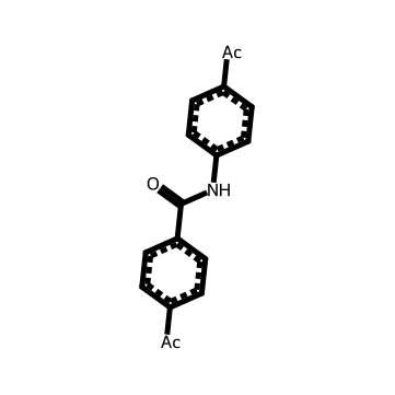 CC(=O)c1ccc(NC(=O)c2ccc(C(C)=O)cc2)cc1